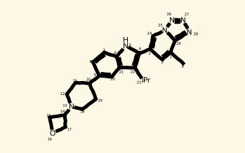 Cc1cc(-c2[nH]c3ccc(C4CCN(C5COC5)CC4)cc3c2C(C)C)cn2nnnc12